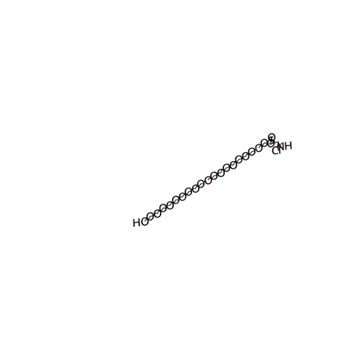 CC(C)(CCCS(=O)(=O)CCOCCOCCOCCOCCOCCOCCOCCOCCOCCOCCOCCOCCOCCOCCOCCOCCOCCOCCOCCO)NCl